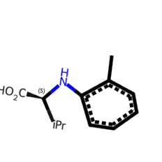 Cc1ccccc1N[C@H](C(=O)O)C(C)C